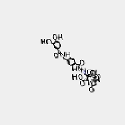 C[C@]1(/C=N/NC(=O)c2ccc(CNC(=O)c3ccc(O)c(O)c3)cc2)[C@H](C(=O)O)N2C(=O)C[C@H]2S1(=O)=O